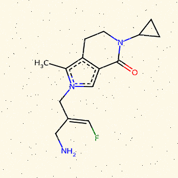 Cc1c2c(cn1CC(=CF)CN)C(=O)N(C1CC1)CC2